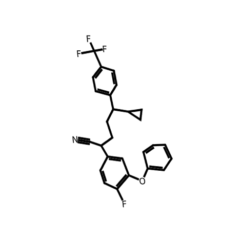 N#CC(CCC(c1ccc(C(F)(F)F)cc1)C1CC1)c1ccc(F)c(Oc2ccccc2)c1